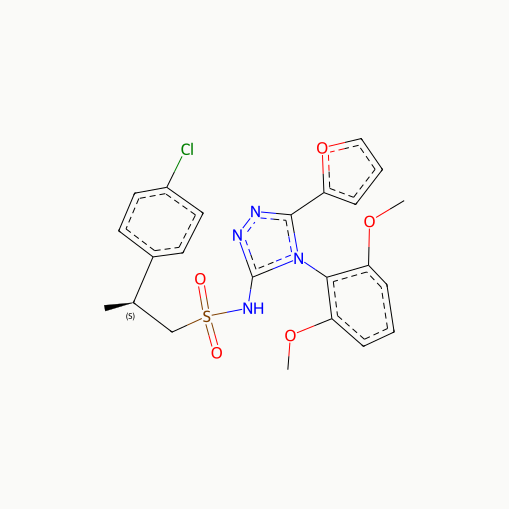 COc1cccc(OC)c1-n1c(NS(=O)(=O)C[C@@H](C)c2ccc(Cl)cc2)nnc1-c1ccco1